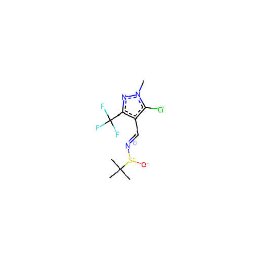 Cn1nc(C(F)(F)F)c(/C=N/[S+]([O-])C(C)(C)C)c1Cl